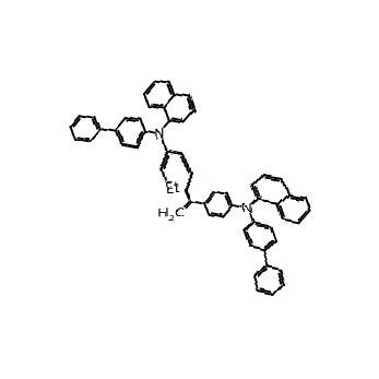 C=C(C/C=C\C(=C/CC)N(c1ccc(-c2ccccc2)cc1)c1cccc2ccccc12)c1ccc(N(c2ccc(-c3ccccc3)cc2)c2cccc3ccccc23)cc1